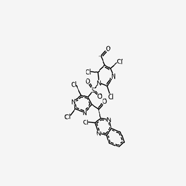 O=[C]C1=C(Cl)N=C(Cl)N(S(=O)(=O)c2c(Cl)nc(Cl)nc2C(=O)c2nc3ccccc3nc2Cl)C1Cl